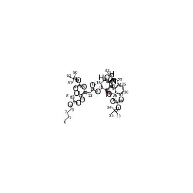 CCCCOC(=O)[C@H](C)OC(=O)[C@H](CC(=O)OC1=CC[C@@]2(O)[C@H]3Cc4ccc(OC(=O)OC(C)(C)C)c5c4[C@@]2(CCN3C)[C@H]1O5)OC(=O)OC(C)(C)C